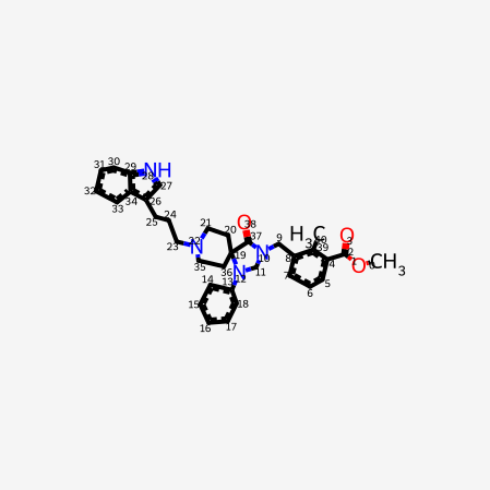 COC(=O)c1cccc(CN2CN(c3ccccc3)C3(CCN(CCCc4c[nH]c5ccccc45)CC3)C2=O)c1C